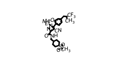 CCn1nc(C(=O)NCC2CCC(S(C)(=O)=O)CC2)c(C#N)c1-c1ccc(CC(C)C(F)(F)F)cc1OC